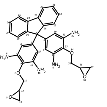 Nc1cc(C2(c3cc(N)c(OCC4CO4)c(N)c3)c3ccccc3-c3ccccc32)cc(N)c1OCC1CO1